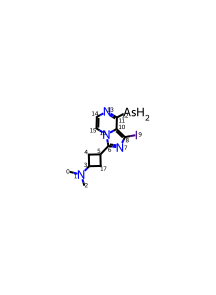 CN(C)C1CC(c2nc(I)c3c([AsH2])nccn23)C1